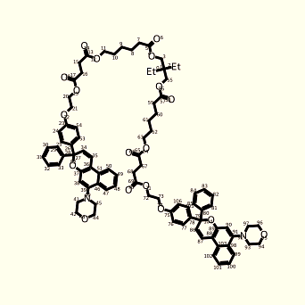 CCC(CC)(COC(=O)CCCCCOC(=O)CCC(=O)OCCOc1ccc(C2(c3ccccc3)C=Cc3c(cc(N4CCOCC4)c4ccccc34)O2)cc1)COC(=O)CCCCCOC(=O)CCC(=O)OCCOc1ccc(C2(c3ccccc3)C=Cc3c(cc(N4CCOCC4)c4ccccc34)O2)cc1